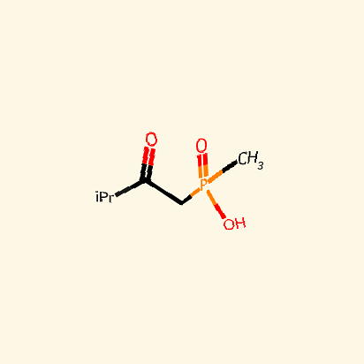 CC(C)C(=O)CP(C)(=O)O